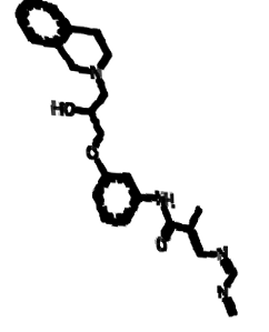 C=N/C=N\C=C(/C)C(=O)Nc1cccc(OCC(O)CN2CCc3ccccc3C2)c1